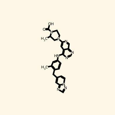 Cc1cc(Nc2ncnc3cnc(N4CCN(C(=O)O)C(C)C4)cc23)ccc1Cc1ccn2ncnc2c1